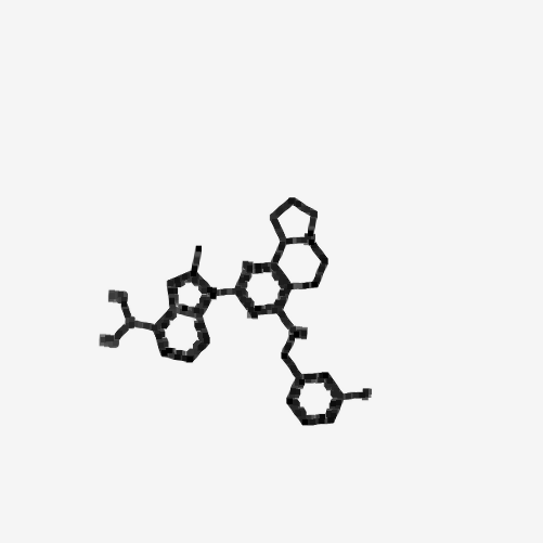 Cc1cc2c(B(O)O)cccc2n1-c1nc(NCc2cccc(F)c2)c2c(n1)C1CCCN1CC2